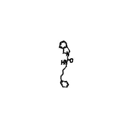 O=C(NCCCCc1ccccc1)N1Cc2ccccc2C1